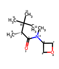 C[C@@H](C(=O)N(C)C1COC1)C(C)(C)C